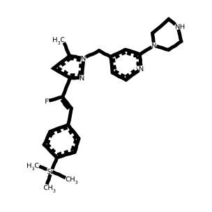 Cc1cc(/C(F)=C/c2ccc([Si](C)(C)C)cc2)nn1Cc1ccnc(N2CCNCC2)c1